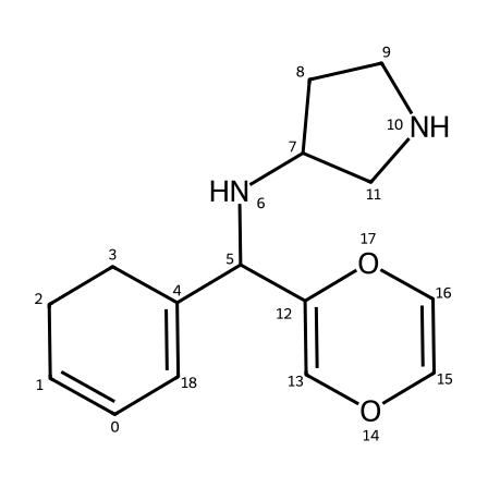 C1=CCCC(C(NC2CCNC2)C2=COC=CO2)=C1